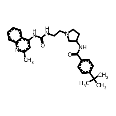 Cc1cc(NC(=O)NCCN2CCC(NC(=O)c3ccc(C(C)(C)C)cc3)C2)c2ccccc2n1